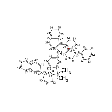 CC1(C)c2cc(N(c3ccc(-c4ccccc4)cc3)c3ccc4ccccc4c3-c3ccccc3)ccc2-c2c(-c3ccc4ccccc4c3)cccc21